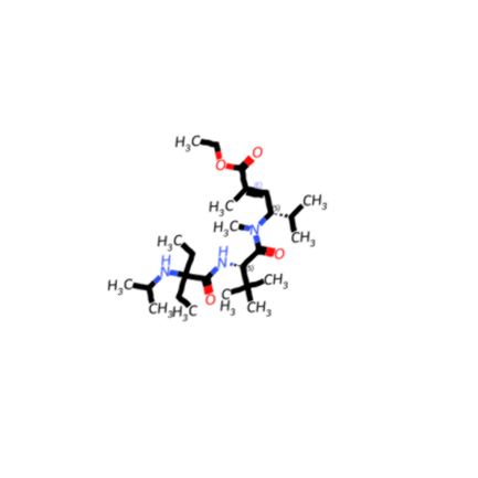 CCOC(=O)/C(C)=C/[C@H](C(C)C)N(C)C(=O)[C@@H](NC(=O)C(CC)(CC)NC(C)C)C(C)(C)C